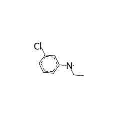 CC[N]c1cccc(Cl)c1